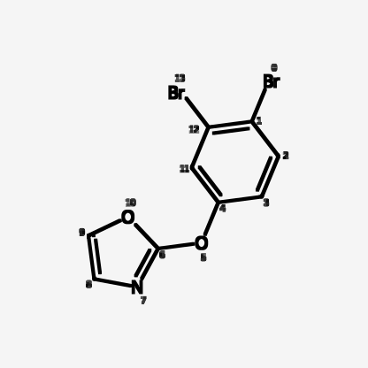 Brc1ccc(Oc2nc[c]o2)cc1Br